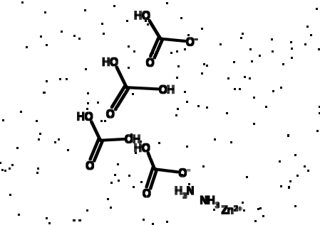 N.N.O=C(O)O.O=C(O)O.O=C([O-])O.O=C([O-])O.[Zn+2]